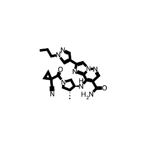 CCCn1cc(-c2cn3ncc(C(N)=O)c(N[C@@H]4CN(C(=O)C5(C#N)CC5)C[C@H]4C)c3n2)cn1